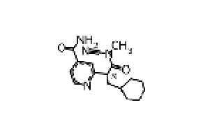 CN(C#N)C(=O)[C@@H](CC1CCCCC1)c1cc(C(N)=O)ccn1